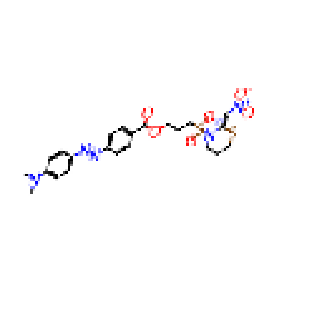 CN(C)c1ccc(/N=N/c2ccc(C(=O)OCCCS(=O)(=O)N3CCCS/C3=C\[N+](=O)[O-])cc2)cc1